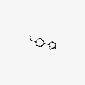 BrCc1ccc(-c2ccno2)cc1